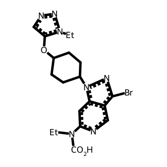 CCN(C(=O)O)c1cc2c(cn1)c(Br)nn2C1CCC(Oc2cnnn2CC)CC1